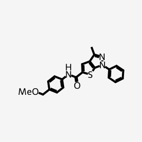 COCc1ccc(NC(=O)c2cc3c(C)nn(-c4ccccc4)c3s2)cc1